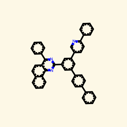 c1ccc(-c2ccc(-c3cc(-c4ccc(-c5ccccc5)nc4)cc(-c4nc(-c5ccccc5)c5ccc6ccccc6c5n4)c3)cc2)cc1